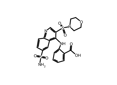 NS(=O)(=O)c1ccc2ncc(S(=O)(=O)N3CCOCC3)c(Nc3ccccc3C(=O)O)c2c1